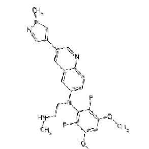 CNCCN(c1ccc2ncc(-c3cnn(C)c3)cc2c1)c1c(F)c(OC)cc(OC)c1F